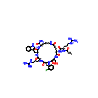 CC(=O)N[C@@H](CCCNC(=N)N)C(=O)N[C@H]1CCC(=O)NCCC[C@@H](C(N)=O)NC(=O)[C@H](Cc2c[nH]c3ccccc23)NC(=O)[C@H](CCCNC(=N)N)NC(=O)[C@@H](Cc2ccccc2F)NC(=O)[C@H](CO)NC1=O